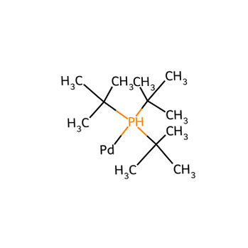 CC(C)(C)[PH]([Pd])(C(C)(C)C)C(C)(C)C